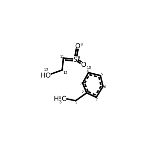 CCc1ccccc1.O=S(=O)=CCO